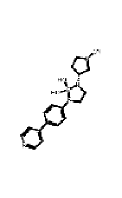 N#CN1CC[C@@H](N2CCN(c3ccc(-c4ccncc4)cc3)S2(O)O)C1